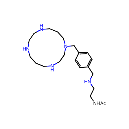 CC(=O)NCCNCc1ccc(CN2CCCNCCNCCCNCC2)cc1